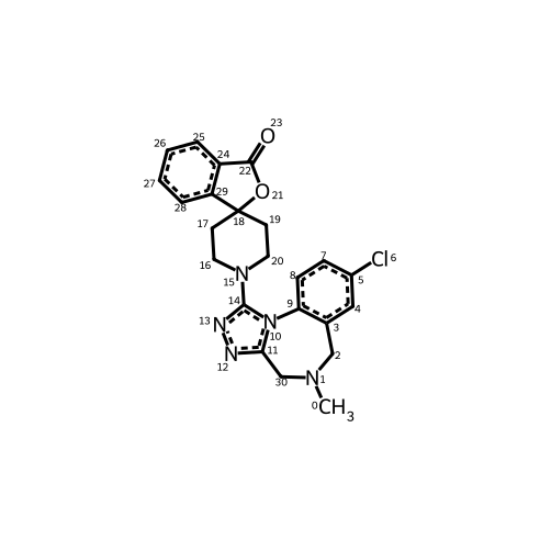 CN1Cc2cc(Cl)ccc2-n2c(nnc2N2CCC3(CC2)OC(=O)c2ccccc23)C1